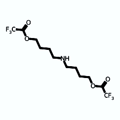 O=C(OCCCCNCCCCOC(=O)C(F)(F)F)C(F)(F)F